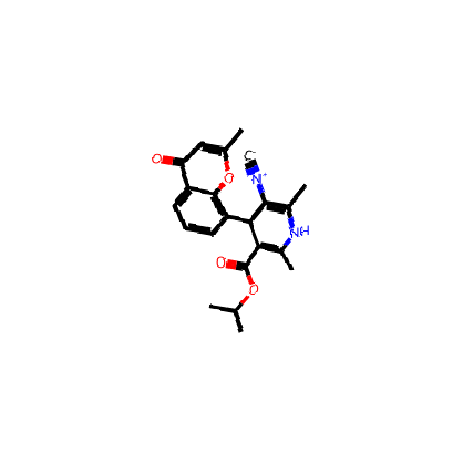 [C-]#[N+]C1=C(C)NC(C)=C(C(=O)OC(C)C)C1c1cccc2c(=O)cc(C)oc12